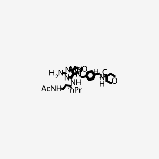 CCC[C@@H](CCNC(C)=O)Nc1nc(N)nc2cnn(Cc3ccc(CNC4(C)CCOCC4)cc3OC)c12